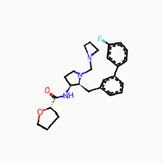 O=C(N[C@H]1CCN(CN2CCC2)[C@H]1Cc1cccc(-c2cccc(F)c2)c1)[C@@H]1CCCO1